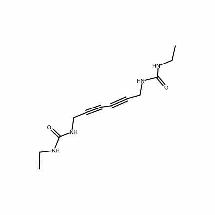 CCNC(=O)NCC#CC#CCNC(=O)NCC